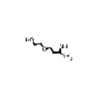 N=C(N)CCOCCO